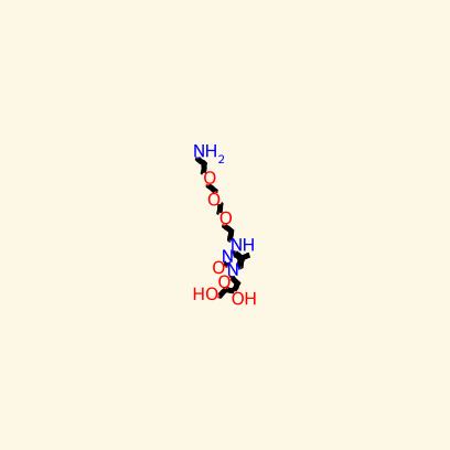 Cc1cn(C2CC(O)C(CO)O2)c(=O)nc1NCCCOCCOCCOCCCN